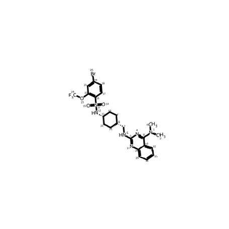 CN(C)c1nc(NC[C@H]2CC[C@@H](NS(=O)(=O)c3ccc(Br)cc3OC(F)(F)F)CC2)nc2ccccc12